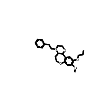 CCCOc1cc2c(cc1OC)OCCC1C2OCCN1CCc1ccccc1